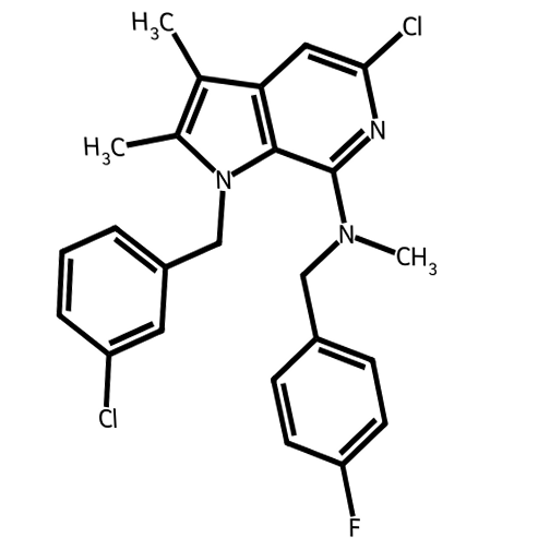 Cc1c(C)n(Cc2cccc(Cl)c2)c2c(N(C)Cc3ccc(F)cc3)nc(Cl)cc12